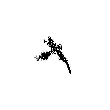 CCCCCCCCOc1ccc(C(=O)Oc2ccc(CSP(=O)(OC[C@@H]3C[C@@H](F)[C@H](n4cnc5c(N)ncnc54)O3)O[C@H]3[C@@H](F)[C@H](n4ccc(=O)[nH]c4=O)O[C@@H]3COP(=O)(O)OC)cc2)cc1